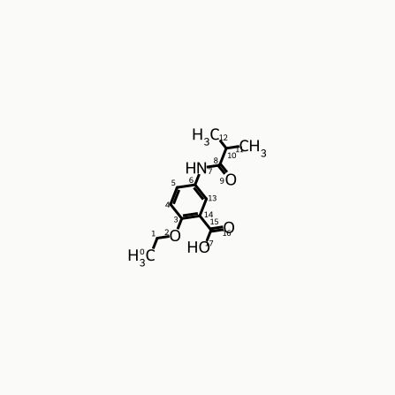 CCOc1ccc(NC(=O)C(C)C)cc1C(=O)O